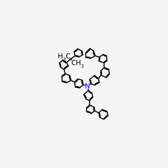 CC(C)(c1ccccc1)c1cccc(-c2cccc(-c3ccc(N(c4ccc(-c5cccc(-c6ccccc6)c5)cc4)c4ccc(-c5cccc(-c6cccc(-c7ccccc7)c6)c5)cc4)cc3)c2)c1